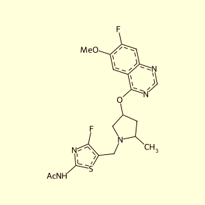 COc1cc2c(OC3CC(C)N(Cc4sc(NC(C)=O)nc4F)C3)ncnc2cc1F